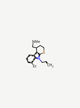 C=CCn1c2c(c3cccc(CC)c31)C(CNC)CCS2